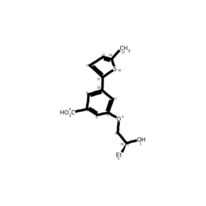 CC[C@H](O)COc1cc(C(=O)O)cc(-c2ccc(C)s2)c1